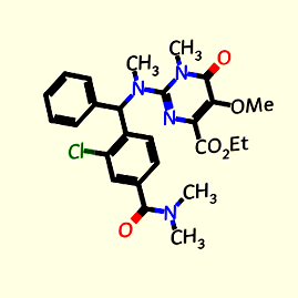 CCOC(=O)c1nc(N(C)C(c2ccccc2)c2ccc(C(=O)N(C)C)cc2Cl)n(C)c(=O)c1OC